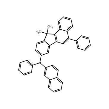 CC1(C)c2ccc(N(c3ccccc3)c3ccc4ccccc4c3)cc2-c2cc(-c3ccccc3)c3ccccc3c21